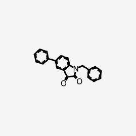 O=C1C(=O)N(Cc2ccccc2)c2ccc(-c3ccccc3)cc21